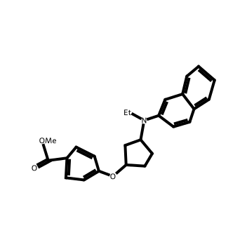 CCN(c1ccc2ccccc2c1)C1CCC(Oc2ccc(C(=O)OC)cc2)C1